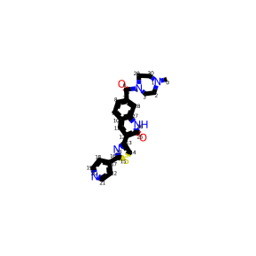 CN1CCN(C(=O)c2ccc3cc(-c4csc(-c5ccncc5)n4)c(=O)[nH]c3c2)CC1